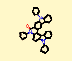 O=c1c2cc3c(cc2c2c4c5ccccc5n(-c5ccccc5)c4ccc2n1-c1ccccc1)c1ccccc1n3-c1ccccc1